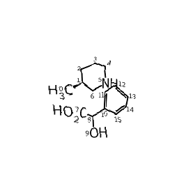 C[C@H]1CCCNC1.O=C(O)C(O)c1ccccc1